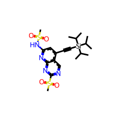 CC(C)[Si](C#Cc1cc(NS(C)(=O)=O)nc2nc(S(C)(=O)=O)ncc12)(C(C)C)C(C)C